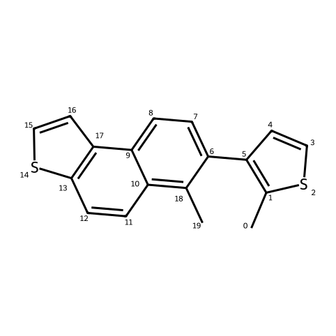 Cc1sccc1-c1ccc2c(ccc3sccc32)c1C